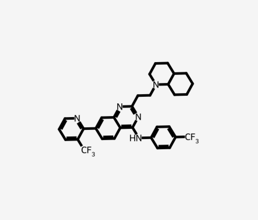 FC(F)(F)c1ccc(Nc2nc(CCN3CCCC4CCCCC43)nc3cc(-c4ncccc4C(F)(F)F)ccc23)cc1